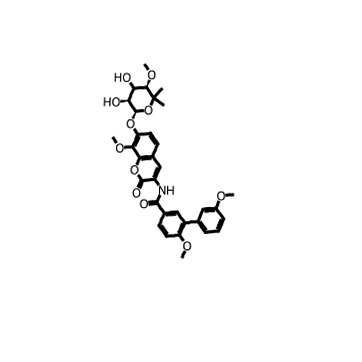 COc1cccc(-c2cc(C(=O)Nc3cc4ccc(O[C@@H]5OC(C)(C)[C@H](OC)C(O)[C@@H]5O)c(OC)c4oc3=O)ccc2OC)c1